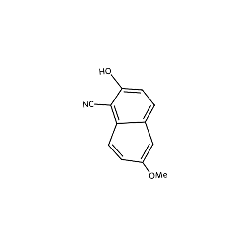 COc1ccc2c(C#N)c(O)ccc2c1